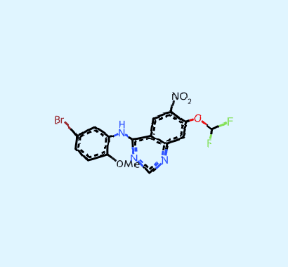 COc1ccc(Br)cc1Nc1ncnc2cc(OC(F)F)c([N+](=O)[O-])cc12